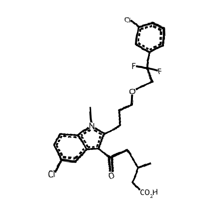 CC(CC(=O)O)CC(=O)c1c(CCCOCC(F)(F)c2cccc(Cl)c2)n(C)c2ccc(Cl)cc12